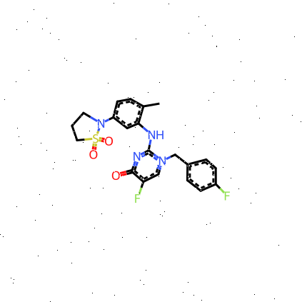 Cc1ccc(N2CCCS2(=O)=O)cc1Nc1nc(=O)c(F)cn1Cc1ccc(F)cc1